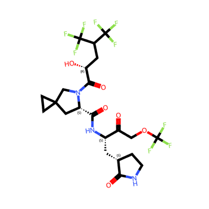 O=C1NCC[C@H]1C[C@H](NC(=O)[C@@H]1CC2(CC2)CN1C(=O)[C@H](O)CC(C(F)(F)F)C(F)(F)F)C(=O)COC(F)(F)F